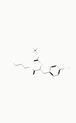 CCCCOC(=O)C(Cc1ccc(O)cc1)NC(=O)OC(C)(C)C